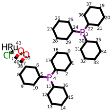 C1CCC(P(C2CCCCC2)C2CCCCC2)CC1.C1CCC(P(C2CCCCC2)C2CCCCC2)CC1.[C]=O.[C]=O.[Cl][RuH]